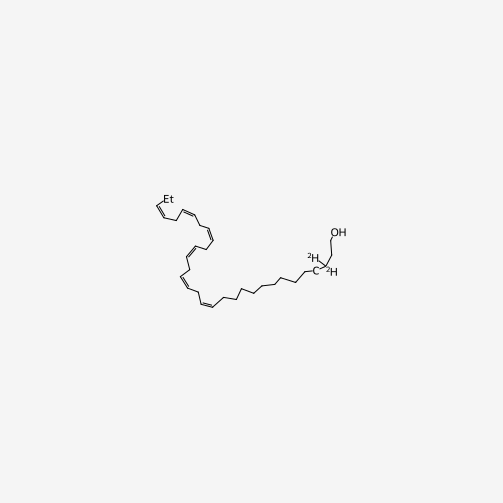 [2H]C([2H])(CCO)CCCCCCCCCC/C=C\C/C=C\C/C=C\C/C=C\C/C=C\C/C=C\CC